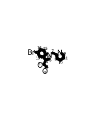 O=CC(=O)c1cn(Cc2ccccn2)c2ccc(Br)cc12